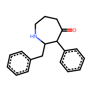 O=C1CCCNC(Cc2ccccc2)C1c1ccccc1